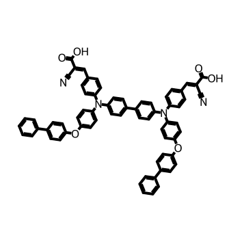 N#C/C(=C\c1ccc(N(c2ccc(Oc3ccc(-c4ccccc4)cc3)cc2)c2ccc(-c3ccc(N(c4ccc(/C=C(\C#N)C(=O)O)cc4)c4ccc(Oc5ccc(-c6ccccc6)cc5)cc4)cc3)cc2)cc1)C(=O)O